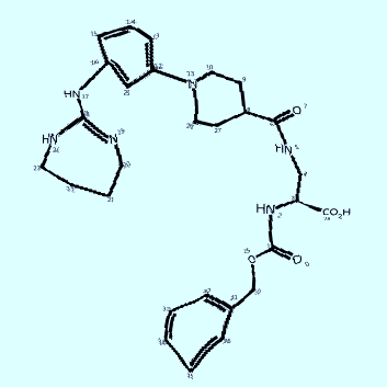 O=C(N[C@@H](CNC(=O)C1CCN(c2cccc(NC3=NCCCCN3)c2)CC1)C(=O)O)OCc1ccccc1